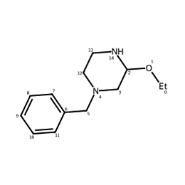 CCOC1CN(Cc2ccccc2)CCN1